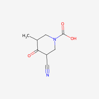 CC1CN(C(=O)O)CC(C#N)C1=O